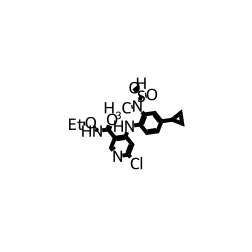 CCONC(=O)c1cnc(Cl)cc1Nc1ccc(C2CC2)cc1N(C)[SH](=O)=O